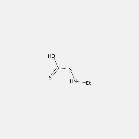 CCNSC(O)=S